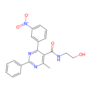 Cc1nc(-c2ccccc2)nc(-c2cccc([N+](=O)[O-])c2)c1C(=O)NCCO